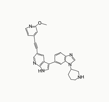 COc1cc(C#Cc2cnc3[nH]cc(-c4ccc5ncn(C6CCCNC6)c5c4)c3c2)ccn1